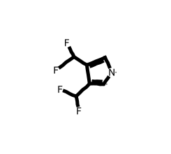 FC(F)C1=[C][N]C=C1C(F)F